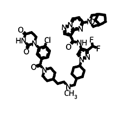 CN(CCC1CCN(C(=O)c2ccc(Cl)c(N3CCC(=O)NC3=O)c2)CC1)CC1CCC(n2cc(NC(=O)c3cnn4ccc(N5CC6CCC(C5)C6=O)nc34)c(C(F)F)n2)CC1